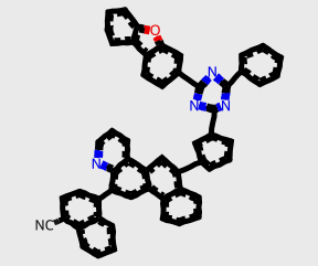 N#Cc1ccc(-c2cc3c4ccccc4c(-c4cccc(-c5nc(-c6ccccc6)nc(-c6ccc7c(c6)oc6ccccc67)n5)c4)cc3c3cccnc23)c2ccccc12